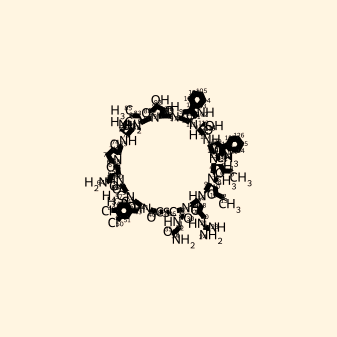 CCCC[C@H]1C(=O)N(C)[C@@H](CCCC)C(=O)N[C@@H](CCCNC(=N)N)C(=O)N[C@H](C(=O)NCC(N)=O)CSCC(=O)N[C@@H](Cc2ccc(Cl)c(Cl)c2)C(=O)N(C)[C@@H](C)C(=O)N[C@@H](CC(N)=O)C(=O)N2CCCC2C(=O)N[C@@H](CN)C(=O)N[C@@H](CC(C)C)C(=O)N2C[C@H](O)C[C@H]2C(=O)N[C@@H](Cc2c[nH]c3ccccc23)C(=O)N[C@@H](CO)C(=O)N[C@@H](Cc2c[nH]c3ccccc23)C(=O)N1C